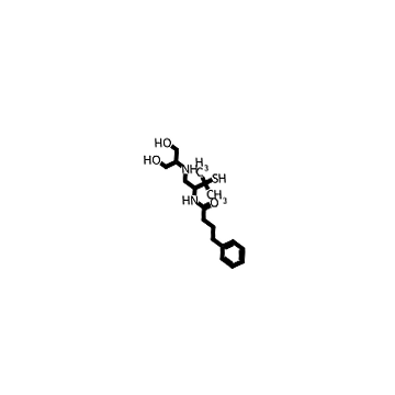 CC(C)(S)C(CNC(CO)CO)NC(=O)CCCc1ccccc1